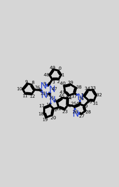 c1ccc(-c2nc(-c3ccccc3)nc(-n3c4ccccc4c4cc(-c5nccc6c7ccccc7n(-c7ccccc7)c56)ccc43)n2)cc1